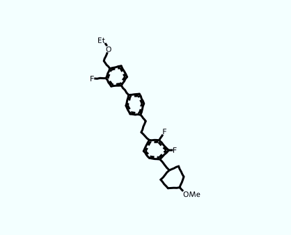 CCOCc1ccc(-c2ccc(CCc3ccc(C4CCC(OC)CC4)c(F)c3F)cc2)cc1F